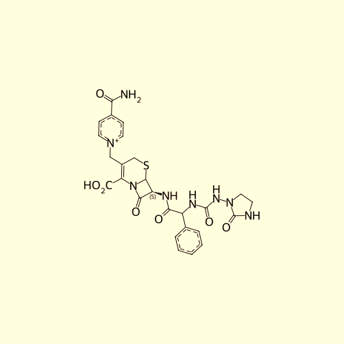 NC(=O)c1cc[n+](CC2=C(C(=O)O)N3C(=O)[C@H](NC(=O)C(NC(=O)NN4CCNC4=O)c4ccccc4)C3SC2)cc1